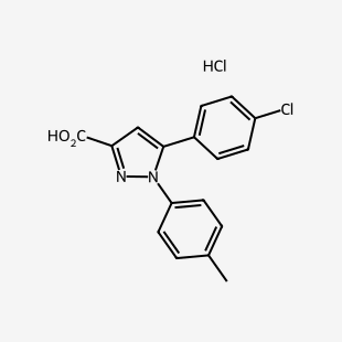 Cc1ccc(-n2nc(C(=O)O)cc2-c2ccc(Cl)cc2)cc1.Cl